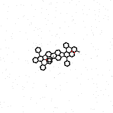 Fc1ccc(-c2ccccc2-c2c3c(c(-c4ccccc4)c4ccccc24)-c2ccc4c5ccc6c7c(ccc(c8ccc-3c2c48)c75)-c2c-6c(-c3ccccc3-c3ccc(F)cc3)c3ccccc3c2-c2ccccc2)cc1